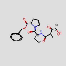 CC(C)C[C@H](NC(=O)C(C)C(=O)[C@@H](O)C(C)C)C(=O)N1CCC[C@H]1C(=O)OCc1ccccc1